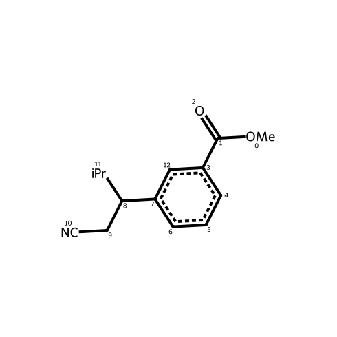 COC(=O)c1cccc(C(CC#N)C(C)C)c1